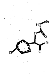 CCCCNC(=O)OC(C(=O)CCCC)c1ccc(Cl)cc1